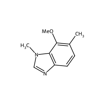 COc1c(C)ccc2ncn(C)c12